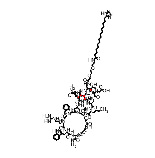 CCCC[C@H](NC(=O)[C@H](CNC(=O)CN(CC(=O)O)CC(=O)O)NC(=O)[C@H](Cc1c[nH]cn1)NC(=O)[C@H](CCC(N)=O)NC(=O)[C@H](CO)NC(=O)CNC(=O)COCCOCCNC(=O)CCCCCCCCCCCCCCCc1nnn[nH]1)C(=O)N[C@H]1CCC(=O)NCCCC[C@@H](C(N)=O)NC(=O)[C@@H](Cc2c[nH]c3ccccc23)NC(=O)[C@H](CCCNC(=N)N)NC(=O)[C@@H](Cc2ccccc2)NC(=O)[C@@H]2C[C@@H](O)CN2C1=O